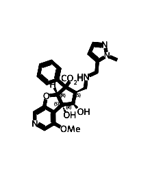 COc1cncc2c1[C@]1(O)[C@H](O)[C@H](CNCc3ccnn3C)C(C(=O)O)(c3ccccc3)[C@H]1O2